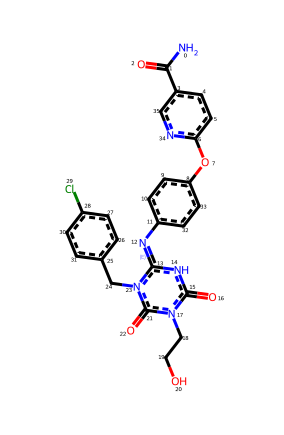 NC(=O)c1ccc(Oc2ccc(/N=c3\[nH]c(=O)n(CCO)c(=O)n3Cc3ccc(Cl)cc3)cc2)nc1